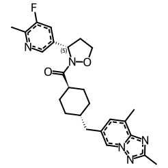 Cc1nc2c(C)cc(C[C@H]3CC[C@H](C(=O)N4OCC[C@H]4c4cnc(C)c(F)c4)CC3)cn2n1